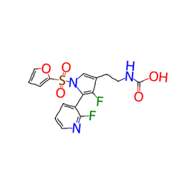 O=C(O)NCCc1cn(S(=O)(=O)c2ccco2)c(-c2cccnc2F)c1F